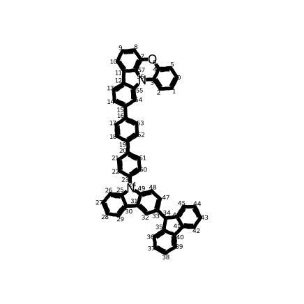 c1ccc2c(c1)Oc1cccc3c4ccc(-c5ccc(-c6ccc(-n7c8ccccc8c8cc(C9c%10ccccc%10-c%10ccccc%109)ccc87)cc6)cc5)cc4n-2c13